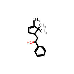 CC1=CCC(CC(O)c2ccccc2)C1(C)C